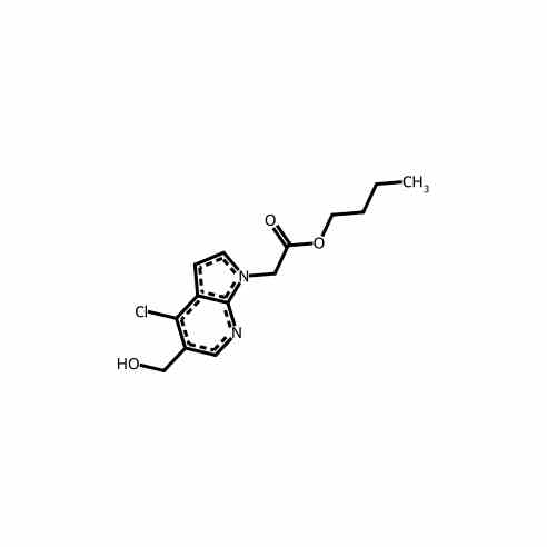 CCCCOC(=O)Cn1ccc2c(Cl)c(CO)cnc21